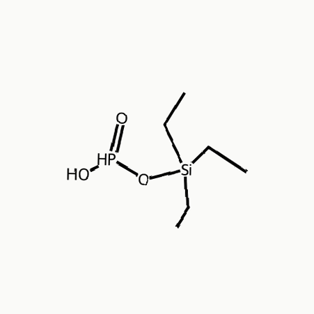 CC[Si](CC)(CC)O[PH](=O)O